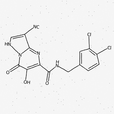 [C-]#[N+]c1c[nH]n2c(=O)c(O)c(C(=O)NCc3ccc(Cl)c(Cl)c3)nc12